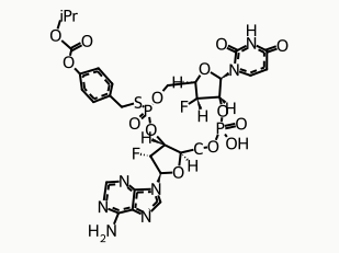 CC(C)OC(=O)Oc1ccc(CSP2(=O)OC[C@H]3O[C@@H](n4ccc(=O)[nH]c4=O)[C@H](OP(=O)(O)OC[C@H]4O[C@@H](n5cnc6c(N)ncnc65)[C@H](F)[C@@H]4O2)[C@@H]3F)cc1